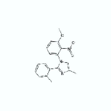 COc1cccc(-n2cc(C)nc2-c2ccccc2C)c1[N+](=O)[O-]